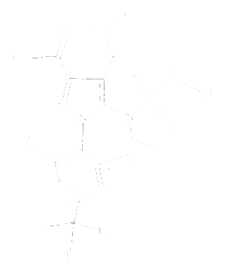 CCN(c1c(C[S+]=O)c(C(C)=O)nn1-c1c(Cl)cc(C(F)(F)F)cc1Cl)S(=O)(=O)CC